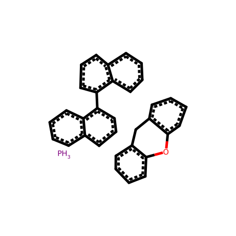 P.c1ccc2c(-c3cccc4ccccc34)cccc2c1.c1ccc2c(c1)Cc1ccccc1O2